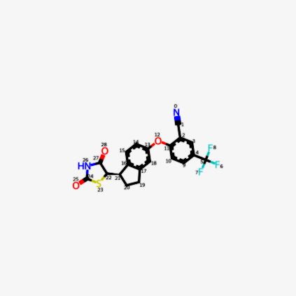 N#Cc1cc(C(F)(F)F)ccc1Oc1ccc2c(c1)CC[C@H]2C1SC(=O)NC1=O